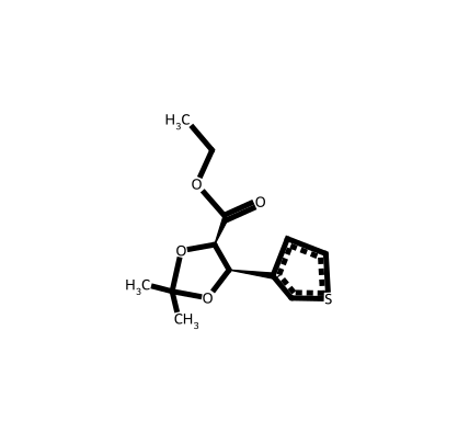 CCOC(=O)[C@@H]1OC(C)(C)O[C@@H]1c1ccsc1